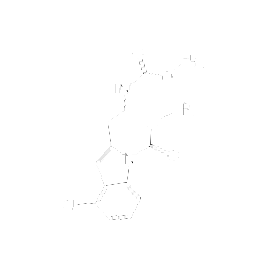 CC(C)(C)OC(=O)NCCc1cc2c(Cl)cccc2n1C(=O)OC(C)(C)C